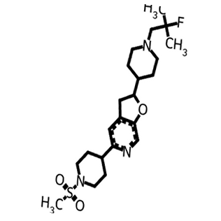 CC(C)(F)CN1CCC(C2Cc3cc(C4CCN(S(C)(=O)=O)CC4)ncc3O2)CC1